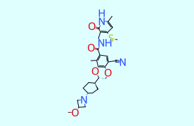 COC1CN([C@H]2CC[C@H]([C@H]3COc4c(C#N)cc(C(=O)NCc5c(SC)cc(C)[nH]c5=O)c(C)c4O3)CC2)C1